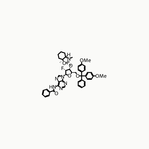 COc1ccc(C(OC[C@H]2O[C@@H](n3cnc4c(NC(=O)c5ccccc5)ncnc43)[C@H](F)[C@@H]2O[P@@]2O[C@@]3(C)CCCC[C@@H]3N2C)(c2ccccc2)c2ccc(OC)cc2)cc1